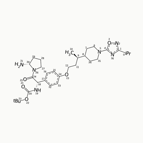 CC(C)c1noc(N2CCC([C@H](C)CCOc3ccc([C@H](NC(=O)OC(C)(C)C)C(=O)N4CCC[C@H]4N)cc3)CC2)n1